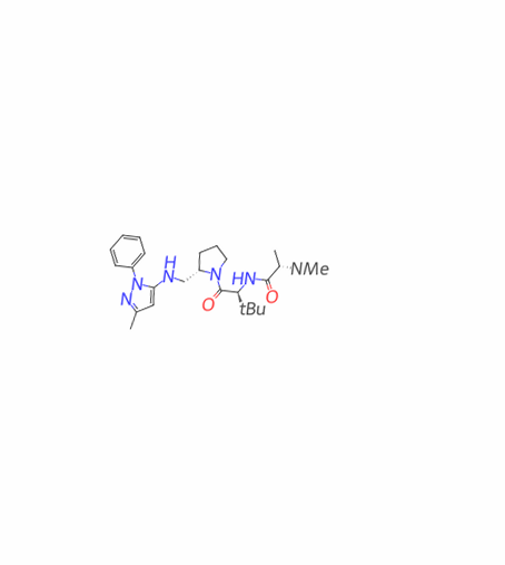 CN[C@@H](C)C(=O)N[C@H](C(=O)N1CCC[C@H]1CNc1cc(C)nn1-c1ccccc1)C(C)(C)C